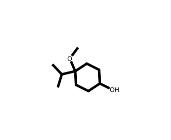 COC1(C(C)C)CCC(O)CC1